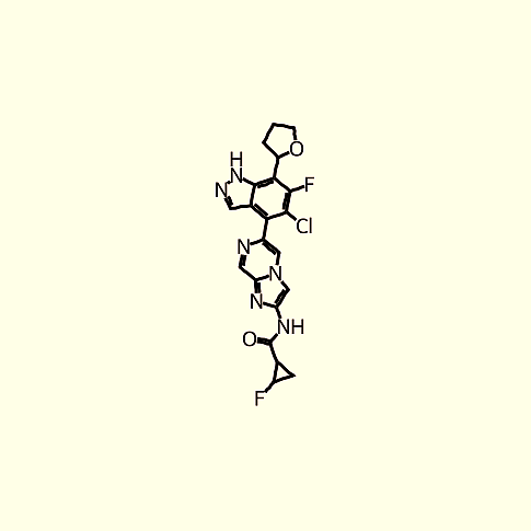 O=C(Nc1cn2cc(-c3c(Cl)c(F)c(C4CCCO4)c4[nH]ncc34)ncc2n1)C1CC1F